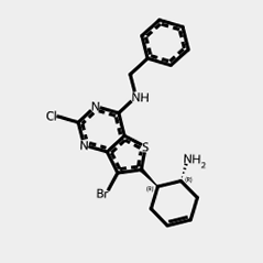 N[C@@H]1CC=CC[C@H]1c1sc2c(NCc3ccccc3)nc(Cl)nc2c1Br